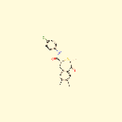 Cc1cc2c(cc1C)C(=O)[C@@H](C)S[C@H](C(=O)Nc1ccc(Cl)cc1)C2